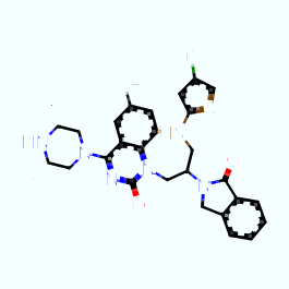 C[C@@H]1CN(c2nc(=O)n3c4c(cc(C(F)(F)F)cc24)[SH](c2cc(Cl)cs2)CC(N2Cc4ccccc4C2=O)C3)C[C@H](C)N1